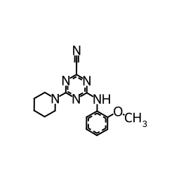 COc1ccccc1Nc1nc(C#N)nc(N2CCCCC2)n1